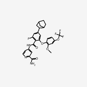 COc1cc(OC(F)(F)F)ccc1Oc1cc(C2CC3CCC2C3)cc(F)c1C(=O)Nc1ccnc(C(N)=O)c1